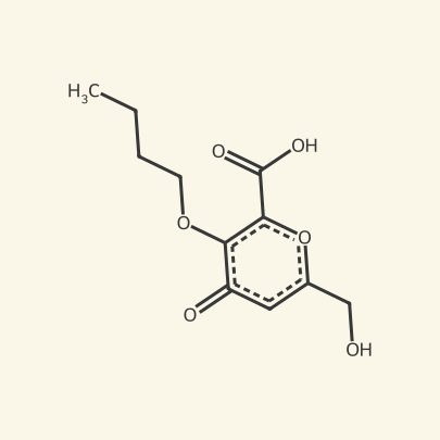 CCCCOc1c(C(=O)O)oc(CO)cc1=O